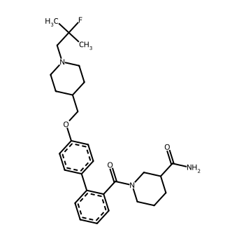 CC(C)(F)CN1CCC(COc2ccc(-c3ccccc3C(=O)N3CCCC(C(N)=O)C3)cc2)CC1